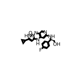 O=[N+]([O-])c1cnc(N[C@@H](CO)c2ccc(F)cc2)cc1Nc1cc(C2CC2)[nH]n1